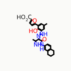 CC(=N)/C(=N/Nc1cc(C)cc(-c2ccc(C(=O)O)o2)c1O)C(=O)Nc1ccc2c(c1)CCCC2